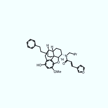 COc1cc(O)c2c3c1O[C@@H]1[C@@H](N(CC(C)C)C(=O)C=Cc4ccoc4)CC[C@H]4[C@@H](C2)N(CCc2ccccc2)CC[C@]314